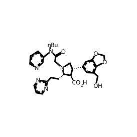 CCCCN(C(=O)CN1C[C@H](c2cc(CO)c3c(c2)OCO3)[C@@H](C(=O)O)[C@@H]1CCc1ncccn1)c1cccnc1